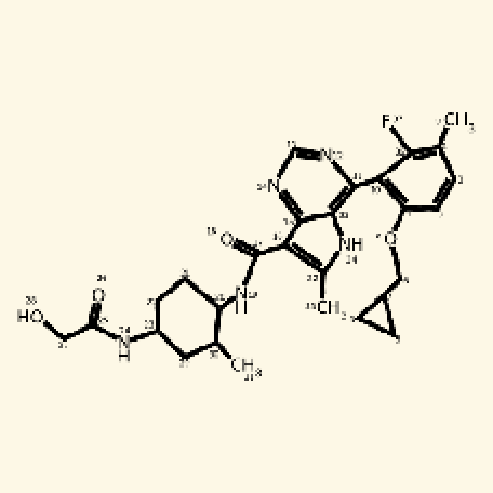 Cc1ccc(OCC2CC2)c(-c2ncnc3c(C(=O)NC4CCC(NC(=O)CO)CC4C)c(C)[nH]c23)c1F